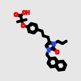 CCCn1c(CCCc2ccc(OC(C)(C)C(=O)O)cc2)cn(Cc2ccc3ccccc3c2)c1=O